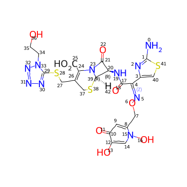 Nc1nc(/C(=N/OCc2cc(=O)c(O)cn2O)C(=O)N[C@@H]2C(=O)N3C(C(=O)O)=C(CSc4nnnn4CCO)CS[C@H]23)cs1